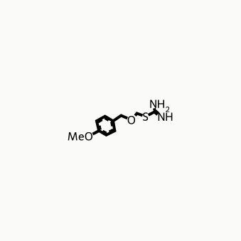 COc1ccc(COCSC(=N)N)cc1